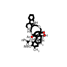 CCCC(=O)Oc1c(OC)c(C)cc2c1[C@H]1C3[C@@H]4SC[C@]5(NCCc6c5[nH]c5ccccc65)C(=O)COC[C@@H](c5c6c(c(C)c(OC(C)=O)c54)OCO6)N3[C@@H](O)[C@@H](C2)N1C